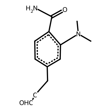 CN(C)c1cc(CCC=O)ccc1C(N)=O